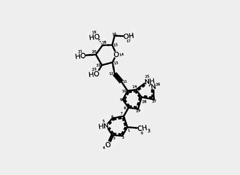 Cc1cc(=O)[nH]cc1-c1cc(C#CC2OC(CO)[C@@H](O)C(O)C2O)c2[nH]ncc2c1